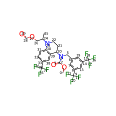 COC(=O)N(Cc1cc(C(F)(F)F)cc(C(F)(F)F)c1)C1CCN(C(C)COC=O)c2ccc(C(F)(F)F)cc21